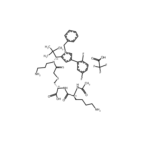 CC(=O)N[C@@H](CCCCN)C(=O)N[C@@H](CSCC(=O)N(CCCN)[C@@H](c1cc(-c2cc(F)ccc2F)cn1Cc1ccccc1)C(C)(C)C)C(=O)O.O=C(O)C(F)(F)F